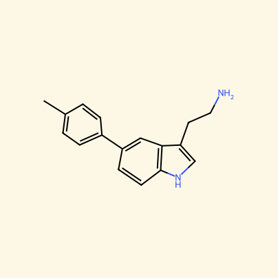 Cc1ccc(-c2ccc3[nH]cc(CCN)c3c2)cc1